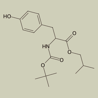 CC(C)COC(=O)C(Cc1ccc(O)cc1)NC(=O)OC(C)(C)C